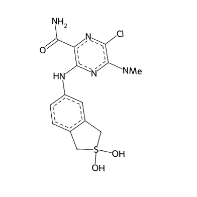 CNc1nc(Nc2ccc3c(c2)CS(O)(O)C3)c(C(N)=O)nc1Cl